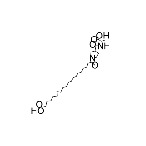 C[C@@H](NC(=O)C1CCN(C(=O)CCCCCCCCCCCCCCCCCCC(=O)O)CC1)C(=O)O